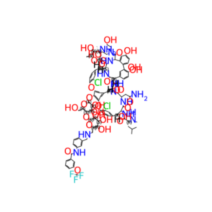 CN[C@H](CC(C)C)C(=O)NC1C(=O)NC(CC(N)=O)C(=O)N[C@H]2C(=O)N[C@H]3C(=O)N[C@H](C(=O)NC(C(=O)N(CCO)CCO)c4cc(O)cc(O)c4-c4cc3ccc4O)[C@H](O[C@H]3C[C@](C)(N)[C@@H](O)[C@H](C)O3)c3ccc(c(Cl)c3)Oc3cc2cc(c3O[C@@H]2O[C@H](CO)[C@@H](O[C@@H]3O[C@H](CNCc4cccc(NC(=O)c5cccc(OC(F)(F)F)c5)c4)[C@H](O)[C@H](O)[C@H]3O)[C@H](O)[C@H]2O)Oc2ccc(cc2Cl)[C@H]1O